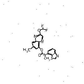 Cc1cc(OC(=O)N(C)c2cccc3ncsc23)c2ncc(OC(F)F)nc2c1